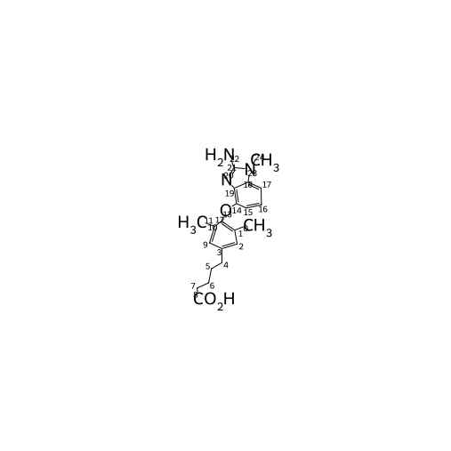 Cc1cc(CCCCC(=O)O)cc(C)c1Oc1cccc2c1nc(N)n2C